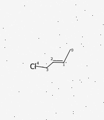 C[C]=CCCl